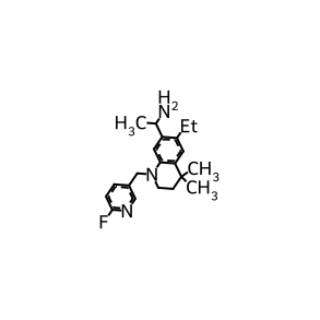 CCc1cc2c(cc1C(C)N)N(Cc1ccc(F)nc1)CCC2(C)C